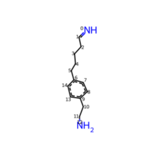 N=CCCCCc1ccc(CCN)cc1